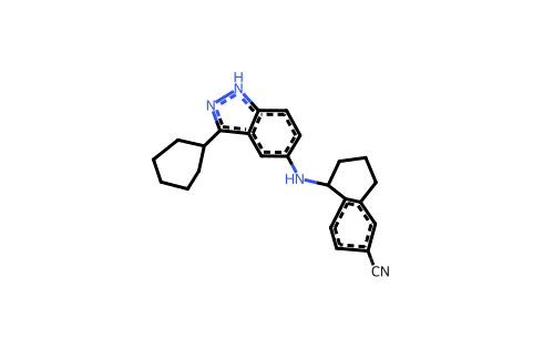 N#Cc1ccc2c(c1)CCCC2Nc1ccc2[nH]nc(C3CCCCC3)c2c1